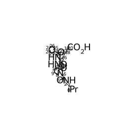 CC(C)CCNC(=O)Cn1cccc(NC(=O)C(CCC=CC(=O)O)NC(=O)c2ccccc2)c1=O